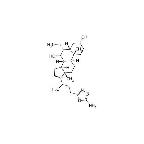 CC[C@H]1[C@@H](O)[C@@H]2[C@H](CC[C@]3(C)[C@@H]([C@H](C)CCc4nnc(N)o4)CC[C@@H]23)[C@@]2(C)CC[C@@H](O)C[C@@H]12